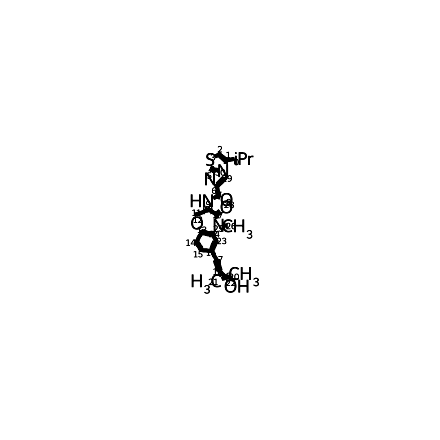 CC(C)c1csc2nc(C(=O)N[C@H]3COc4ccc(C#CC(C)(C)O)cc4N(C)C3=O)cn12